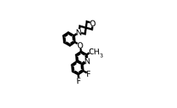 Cc1nc2c(F)c(F)ccc2cc1Oc1ccccc1N1CC2(COC2)C1